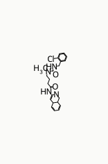 CN(CCCC(=O)NC1=CC2C=CC=CC2C=N1)C(=O)NCc1ccccc1Cl